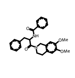 COc1cc2c(cc1OC)CN(C(=O)C(Cc1ccccc1)NC(=O)c1ccccc1)CC2